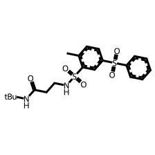 Cc1ccc(S(=O)(=O)c2ccccc2)cc1S(=O)(=O)NCCC(=O)NC(C)(C)C